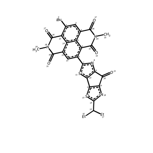 CCC(C)c1cc2c3c(c(-c4nc5c(s4)-c4sc(C(CC)CC)nc4C5=O)cc4c3c1C(=O)N(C)C4=O)C(=O)N(C)C2=O